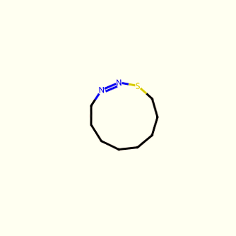 C1CCCCSN=NCCC1